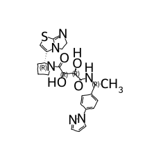 C[C@@H](NC(=O)[C@H](O)[C@@H](O)C(=O)N1CCC[C@@H]1C1=CSC2=NCCN12)c1ccc(-n2cccn2)cc1